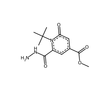 COC(=O)c1cc(C(=O)NN)n(C(C)(C)C)c(=O)c1